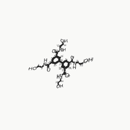 O=C(NCCO)c1cc(C(=O)NCCO)cc(-c2cc(C(=O)NCCO)cc(C(=O)NCCO)c2)c1